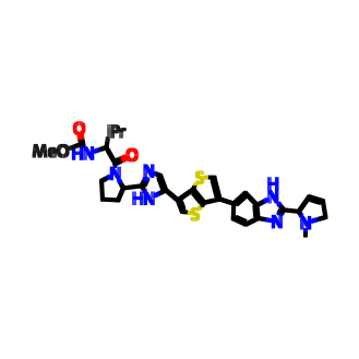 COC(=O)NC(C(=O)N1CCCC1c1ncc(-c2csc3c(-c4ccc5nc(C6C=CCN6C)[nH]c5c4)csc23)[nH]1)C(C)C